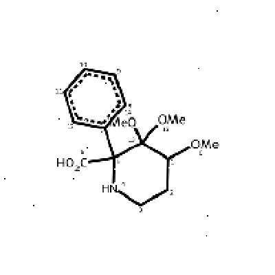 COC1CCNC(C(=O)O)(c2ccccc2)C1(OC)OC